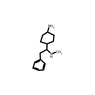 CNC(Cc1ccccc1)C1CCC(N)CC1